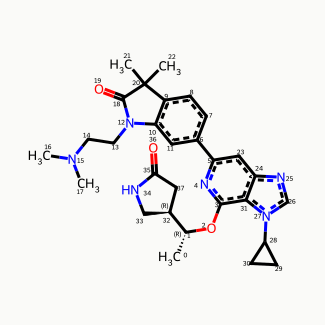 C[C@@H](Oc1nc(-c2ccc3c(c2)N(CCN(C)C)C(=O)C3(C)C)cc2ncn(C3CC3)c12)[C@H]1CNC(=O)C1